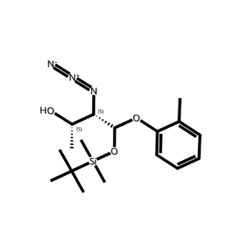 Cc1ccccc1OC(O[Si](C)(C)C(C)(C)C)[C@@H](N=[N+]=[N-])[C@H](C)O